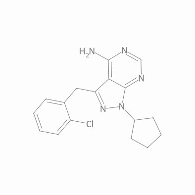 Nc1ncnc2c1c(Cc1ccccc1Cl)nn2C1CCCC1